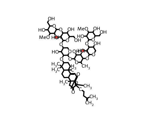 C=C(C)CCCC1(C)OC(=O)C23CC=C4C(CCC5C4(C)CCC(OC4C(OC6OC(C)C(OC7OCC(O)C(OC8OC(CO)C(O)C(OC)C8O)C7O)C(O)C6O)OCC(OC6OC(CO)C(O)C(OC7OC(CO)C(O)C(OC)C7O)C6O)C4O)C5(C)C)C2(C)CC(=O)C13